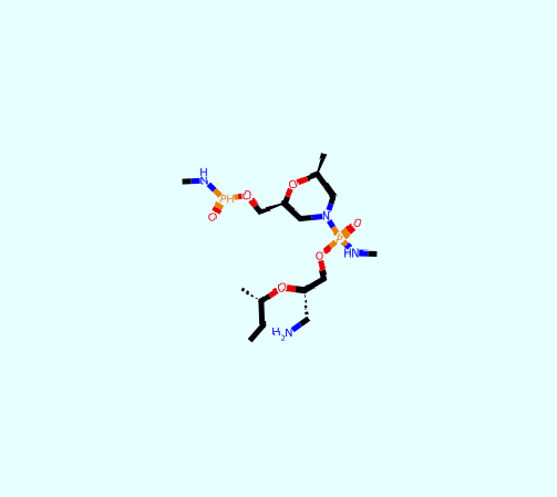 CC[C@H](C)O[C@@H](CN)COP(=O)(NC)N1C[C@@H](CO[PH](=O)NC)O[C@@H](C)C1